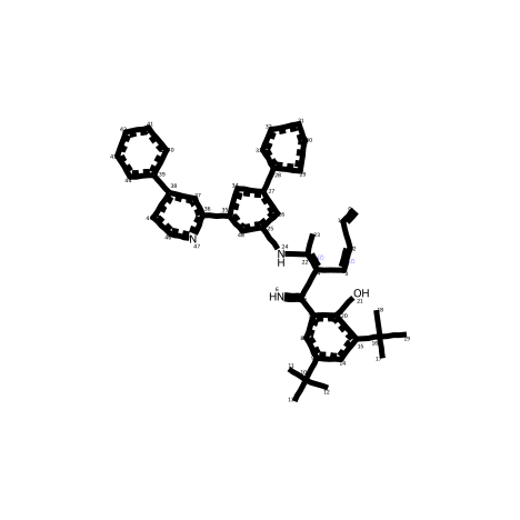 C=C/C=C\C(C(=N)c1cc(C(C)(C)C)cc(C(C)(C)C)c1O)=C(/C)Nc1cc(-c2ccccc2)cc(-c2cc(-c3ccccc3)ccn2)c1